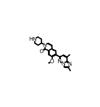 COc1cc2c(=O)n(C3CCNCC3)ccc2cc1-c1cc(C)c2nc(C)cn2n1